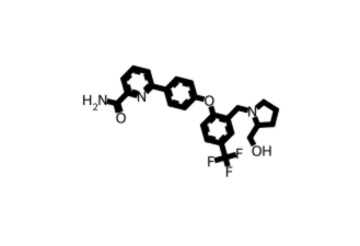 NC(=O)c1cccc(-c2ccc(Oc3ccc(C(F)(F)F)cc3CN3CCCC3CO)cc2)n1